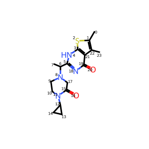 Cc1sc2[nH]c(C(C)N3CCN(C4CC4)C(=O)C3)nc(=O)c2c1C